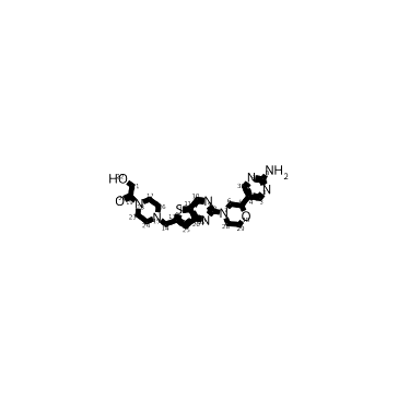 Nc1ncc(C2CN(c3ncc4sc(CN5CCN(C(=O)CO)CC5)cc4n3)CCO2)cn1